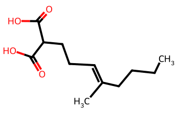 CCCCC(C)=CCCC(C(=O)O)C(=O)O